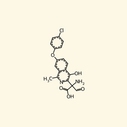 Cc1nc(C(N)(C=O)C(=O)O)c(O)c2ccc(Oc3ccc(Cl)cc3)cc12